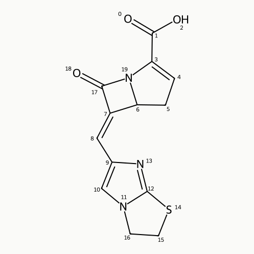 O=C(O)C1=CCC2/C(=C\c3cn4c(n3)SCC4)C(=O)N12